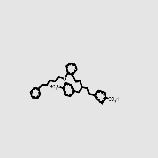 O=C(O)c1ccc(CCC(C=Cc2ccccc2OCCCCCc2ccccc2)Cc2ccc(C(=O)O)cc2)cc1